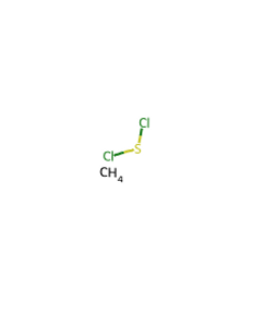 C.ClSCl